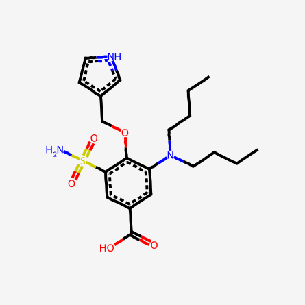 CCCCN(CCCC)c1cc(C(=O)O)cc(S(N)(=O)=O)c1OCc1cc[nH]c1